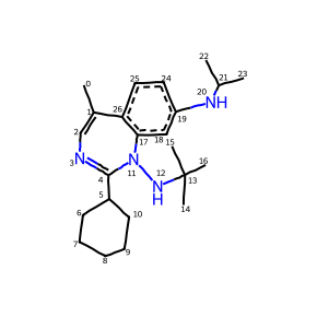 CC1=CN=C(C2CCCCC2)N(NC(C)(C)C)c2cc(NC(C)C)ccc21